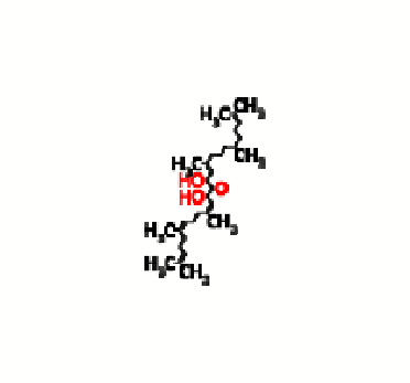 CC(C)=CCCC(C)=CCCC(C)=CC(O)C(=O)C(O)C=C(C)CCC=C(C)CCC=C(C)C